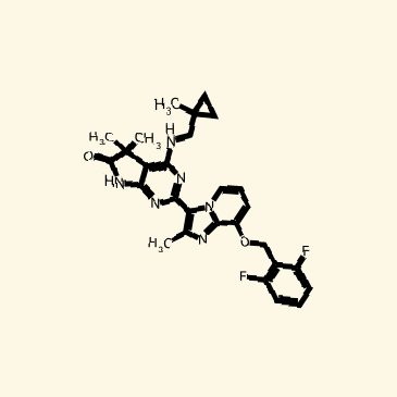 Cc1nc2c(OCc3c(F)cccc3F)cccn2c1-c1nc(NCC2(C)CC2)c2c(n1)NC(=O)C2(C)C